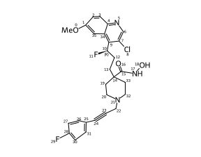 COc1ccc2ncc(Cl)c([C@H](F)CCC3(C(=O)NO)CCN(CC#Cc4ccc(F)cc4)CC3)c2c1